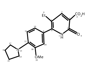 CCc1cc(C(=O)O)c(=O)[nH]c1-c1ccc(N2CCCC2)c(OC)c1